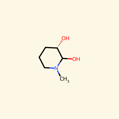 CN1CCC[C@H](O)C1O